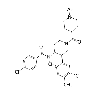 CC(=O)N1CCC(C(=O)N2CC[C@@H](N(C)C(=O)c3ccc(Cl)cc3)[C@H](c3ccc(C)c(Cl)c3)C2)CC1